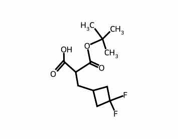 CC(C)(C)OC(=O)C(CC1CC(F)(F)C1)C(=O)O